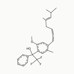 COc1cc(C=C=CC/C(C)=C/C(C)C)c(C)cc1C(O)(c1ccccc1)C(F)(F)F